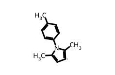 Cc1ccc(-n2c(C)[c]cc2C)cc1